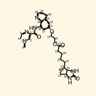 C=N/C=C(\N=C/C)C(=O)Nc1cc(OCCOC(=O)CCCCC2SCC3NC(=O)NC32)cc2cccnc12